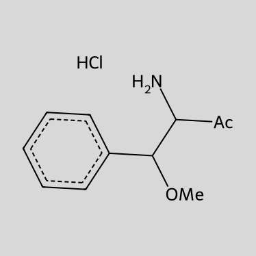 COC(c1ccccc1)C(N)C(C)=O.Cl